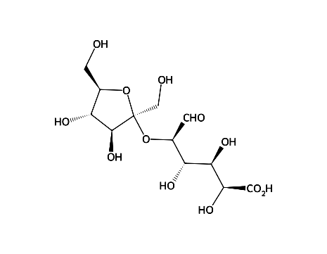 O=C[C@H](O[C@]1(CO)O[C@H](CO)[C@@H](O)[C@@H]1O)[C@@H](O)[C@@H](O)[C@H](O)C(=O)O